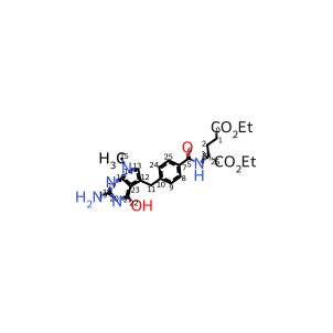 CCOC(=O)CC[C@@H](NC(=O)c1ccc(Cc2cn(C)c3nc(N)nc(O)c23)cc1)C(=O)OCC